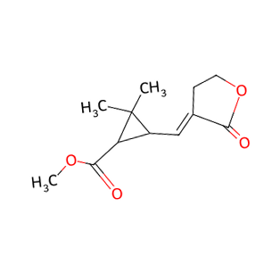 COC(=O)C1C(C=C2CCOC2=O)C1(C)C